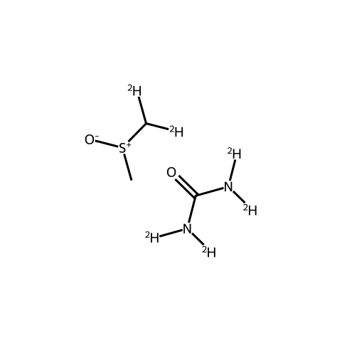 [2H]C([2H])[S+](C)[O-].[2H]N([2H])C(=O)N([2H])[2H]